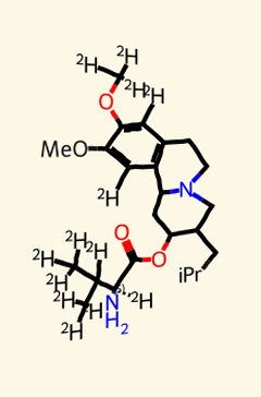 [2H]c1c2c(c([2H])c(OC)c1OC([2H])([2H])[2H])C1CC(OC(=O)[C@@]([2H])(N)C([2H])(C([2H])([2H])[2H])C([2H])([2H])[2H])C(CC(C)C)CN1CC2